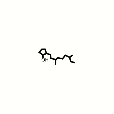 CCC(C)CCCC(C)CCC1CCCC1O